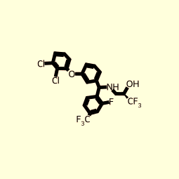 O[C@H](CNC(c1cccc(Oc2cccc(Cl)c2Cl)c1)c1ccc(C(F)(F)F)cc1F)C(F)(F)F